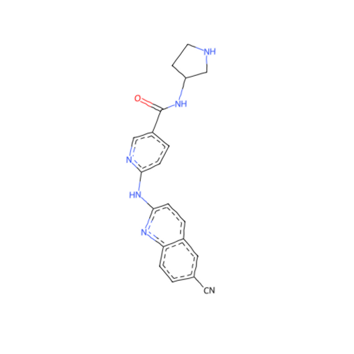 N#Cc1ccc2nc(Nc3ccc(C(=O)NC4CCNC4)cn3)ccc2c1